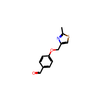 Cc1nc(COc2ccc(C=O)cc2)cs1